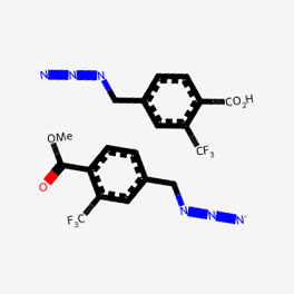 COC(=O)c1ccc(CN=[N+]=[N-])cc1C(F)(F)F.[N-]=[N+]=NCc1ccc(C(=O)O)c(C(F)(F)F)c1